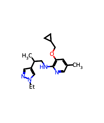 CCn1cc(C(C)CNc2ncc(C)cc2OCC2CC2)cn1